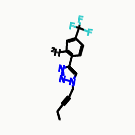 [2H]c1cc(C(F)(F)F)ccc1-c1cn(CC#CCC)nn1